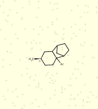 CC(=O)C12CC[C@@H](C)CC1C1CCC2C1